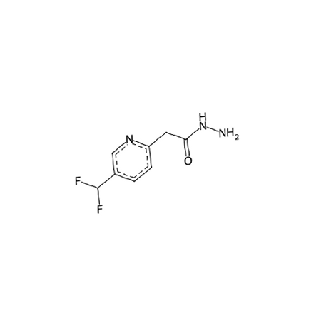 NNC(=O)Cc1ccc(C(F)F)cn1